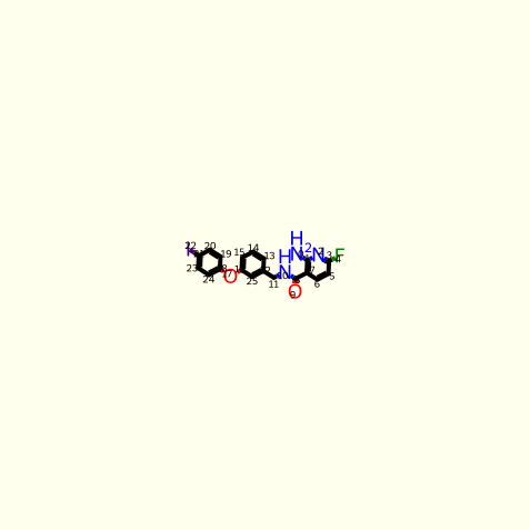 Nc1nc(F)ccc1C(=O)NCc1cccc(Oc2ccc(I)cc2)c1